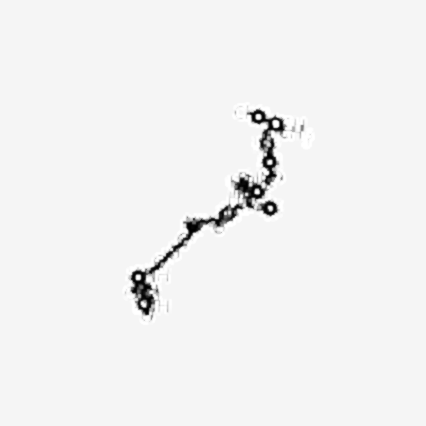 CC1(C)CCC(c2ccc(Cl)cc2)=C(CN2CCN(c3ccc(C(=O)NSc4ccc(N[C@H](CCN5CCN(C(=O)CCCn6cc(COCCOCCOCCNc7cccc8c7C(=O)N(C7CCC(=O)NC7=O)C8=O)nn6)CC5)CSc5ccccc5)c(S(=O)(=O)C(F)(F)F)c4)cc3)CC2)C1